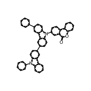 O=c1oc2ccccc2c2ccc(-n3c4ccc(-c5ccccc5)cc4c4cc(-c5ccc6c(c5)c5ccccc5n6-c5ccccc5)ccc43)cc12